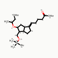 COCC(C)OC1CC2C(=CCCCC(=O)OC)CCC2C1CO[Si](C)(C)C(C)(C)C